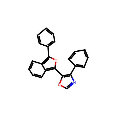 c1ccc(-c2ncoc2-c2oc(-c3ccccc3)c3ccccc23)cc1